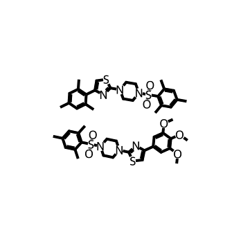 COc1cc(-c2csc(N3CCN(S(=O)(=O)c4c(C)cc(C)cc4C)CC3)n2)cc(OC)c1OC.Cc1cc(C)c(-c2csc(N3CCN(S(=O)(=O)c4c(C)cc(C)cc4C)CC3)n2)c(C)c1